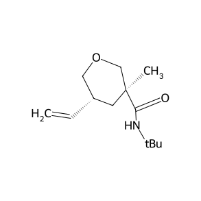 C=C[C@@H]1COC[C@@](C)(C(=O)NC(C)(C)C)C1